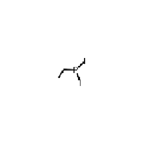 CCP(I)I